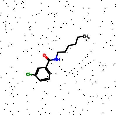 CCCCCCNC(=O)c1cccc(Cl)c1